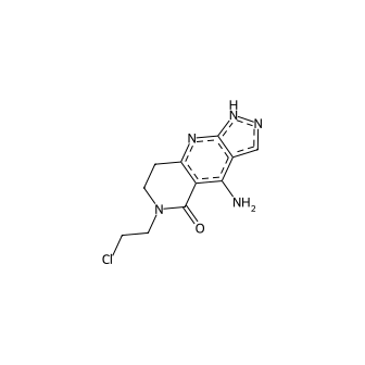 Nc1c2c(nc3[nH]ncc13)CCN(CCCl)C2=O